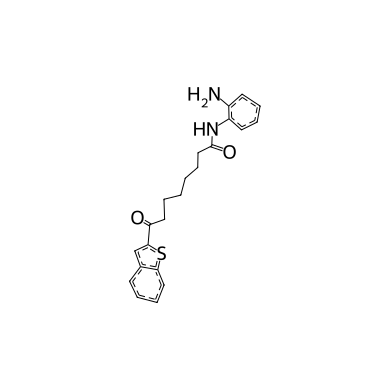 Nc1ccccc1NC(=O)CCCCCCC(=O)c1cc2ccccc2s1